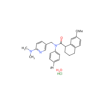 COc1ccc2c(c1)C(C(=O)N(Cc1ccc(N(C)C)nc1)c1ccc(C(C)C)cc1)CCC2.Cl.O